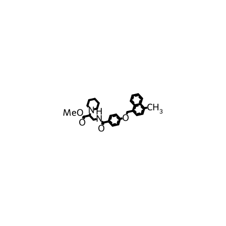 COC(=O)C(CNC(=O)c1ccc(OCc2ccc(C)c3ccccc23)cc1)N1CCCCC1